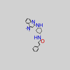 CN(C)c1cc(N[C@H]2CC[C@@H](CNC(=O)/C=C/c3ccccc3)CC2)nc2ccccc12